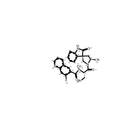 CC(C)C[C@@H](C(=O)N1C[C@]2(C[C@H]1C#N)C(=O)Nc1ccccc12)N(C)C(=O)c1cc2cccnc2cc1F